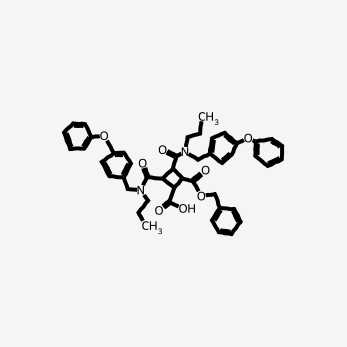 CCCN(Cc1ccc(Oc2ccccc2)cc1)C(=O)C1C(C(=O)O)C(C(=O)OCc2ccccc2)C1C(=O)N(CCC)Cc1ccc(Oc2ccccc2)cc1